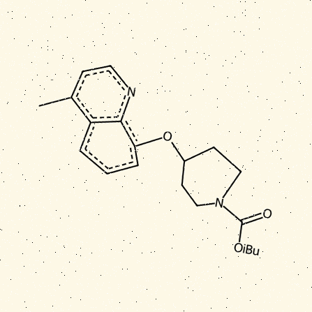 Cc1ccnc2c(OC3CCN(C(=O)OCC(C)C)CC3)cccc12